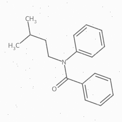 CC(C)CCN(C(=O)c1ccccc1)c1ccccc1